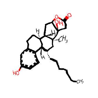 CCCCCC[C@H]1C[C@@]2(C)[C@@H](CC3OC(=O)C[C@@]32O)[C@@H]2CCc3cc(O)ccc3[C@@H]12